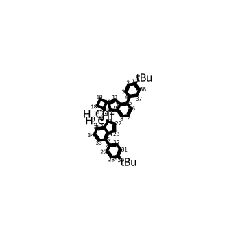 CC(C)(C)c1ccc(-c2cccc3c2C=C[CH]3[Hf]([CH3])([CH3])(=[C]2CCC2)[CH]2C=Cc3c(-c4ccc(C(C)(C)C)cc4)cccc32)cc1